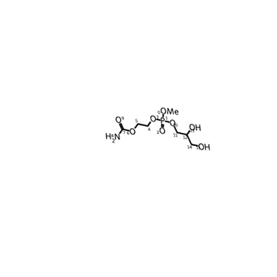 COP(=O)(OCCOC(N)=O)OCC(O)CO